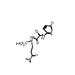 CN(C)C(=O)CCN(NC(=O)C(=O)Nc1ccc(Cl)cn1)C(=O)O